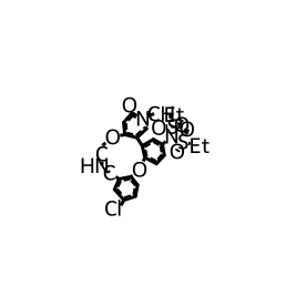 CCS(=O)(=O)N(c1ccc2c(c1)-c1cn(C)c(=O)cc1OCCNCc1cc(Cl)ccc1O2)S(=O)(=O)CC